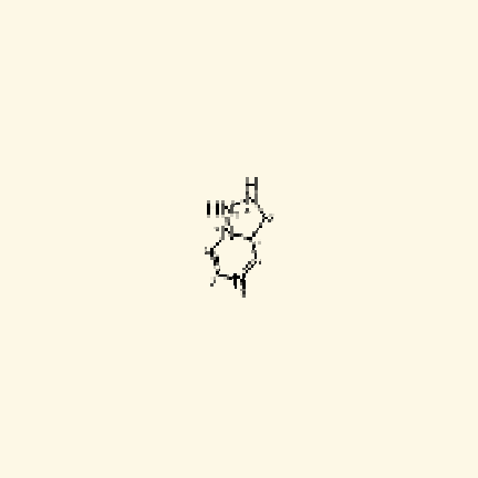 C1=CN2NNCC2C=N1